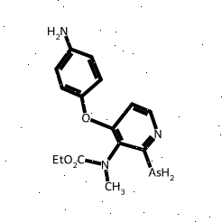 CCOC(=O)N(C)c1c(Oc2ccc(N)cc2)ccnc1[AsH2]